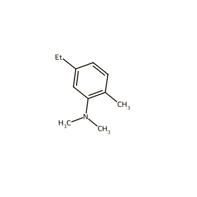 CCc1ccc(C)c(N(C)C)c1